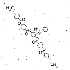 CCCc1ccc(C(=O)OC2CCC(C(=O)Oc3ccc(OC(=O)C4CCC(OC(=O)c5ccc(CCC)cc5)CC4)c4nc(-c5ccccc5)cnc34)CC2)cc1